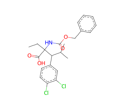 CCC(NC(=O)OCc1ccccc1)(C(=O)O)C(c1ccc(Cl)c(Cl)c1)C(C)C